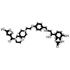 CC(C)c1cc(C(=O)N2CCOC3(CCN(CCOc4ccc(CNCC(O)c5ccc(O)c6[nH]c(=O)sc56)cc4)CC3)C2)no1